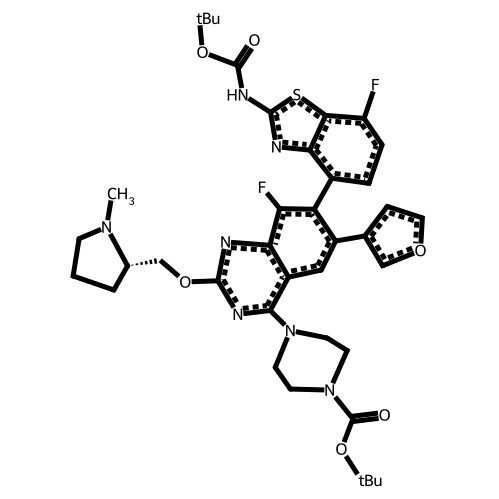 CN1CCC[C@H]1COc1nc(N2CCN(C(=O)OC(C)(C)C)CC2)c2cc(-c3ccoc3)c(-c3ccc(F)c4sc(NC(=O)OC(C)(C)C)nc34)c(F)c2n1